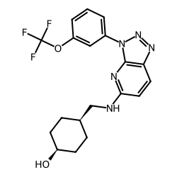 O[C@H]1CC[C@@H](CNc2ccc3nnn(-c4cccc(OC(F)(F)F)c4)c3n2)CC1